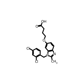 Cc1nc2ccc(OCCCC(=O)O)cc2n1Cc1ccc(Cl)cc1Cl